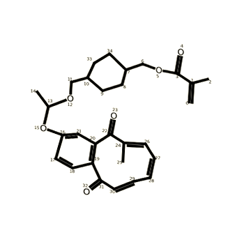 C=C(C)C(=O)OCC1CCC(COC(C)Oc2ccc3c(c2)C(=O)/C(C)=C/C=C\C=C\C3=O)CC1